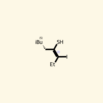 CC/C(I)=C(/S)C[C@@H](C)CC